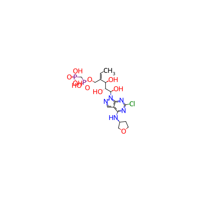 C/C=C(/COP(=O)(O)CP(=O)(O)O)[C@@H](O)[C@@H](O)[C@@H](O)n1ncc2c(N[C@H]3CCOC3)nc(Cl)nc21